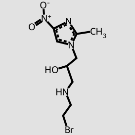 Cc1nc([N+](=O)[O-])cn1CC(O)CNCCBr